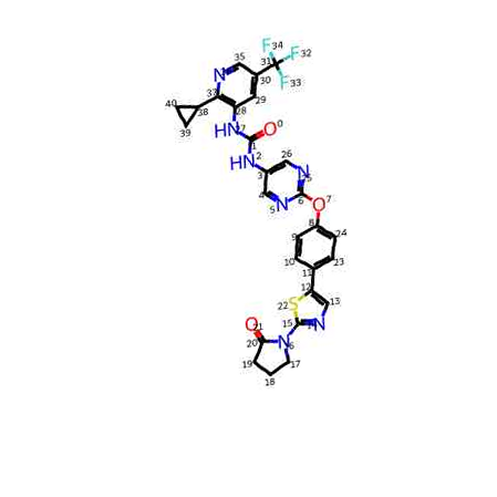 O=C(Nc1cnc(Oc2ccc(-c3cnc(N4CCCC4=O)s3)cc2)nc1)Nc1cc(C(F)(F)F)cnc1C1CC1